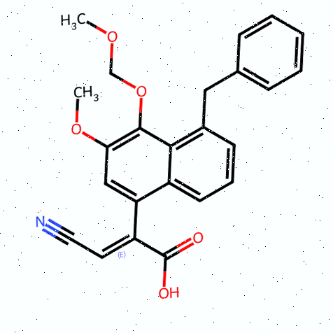 COCOc1c(OC)cc(/C(=C\C#N)C(=O)O)c2cccc(Cc3ccccc3)c12